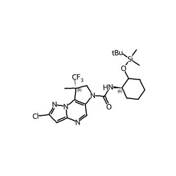 CC(C)(C)[Si](C)(C)OC1CCCC[C@H]1NC(=O)N1C[C@@](C)(C(F)(F)F)c2c1cnc1cc(Cl)nn21